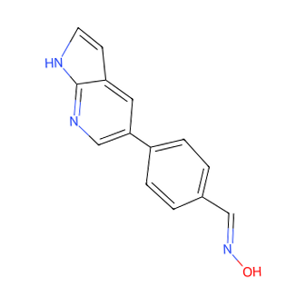 ON=Cc1ccc(-c2cnc3[nH]ccc3c2)cc1